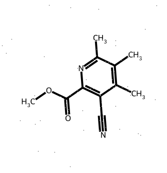 COC(=O)c1nc(C)c(C)c(C)c1C#N